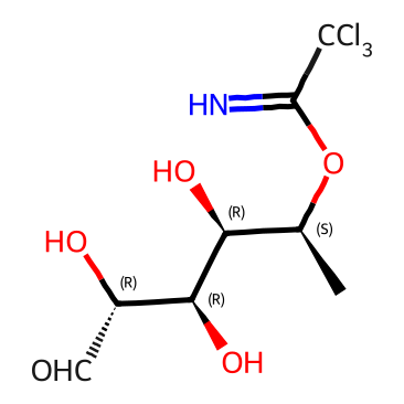 C[C@H](OC(=N)C(Cl)(Cl)Cl)[C@H](O)[C@@H](O)[C@@H](O)C=O